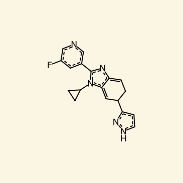 Fc1cncc(-c2nc3c(n2C2CC2)=CC(c2cc[nH]n2)CC=3)c1